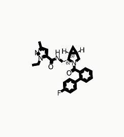 CCn1nc(C)cc1C(=O)NC[C@@H]1[C@H]2C[C@H]2CN1C(=O)c1ccccc1-c1ccc(F)cc1